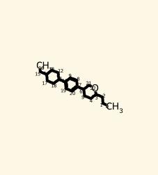 CCCC1CCC(c2ccc(C3CCC(CC)CC3)cc2)CO1